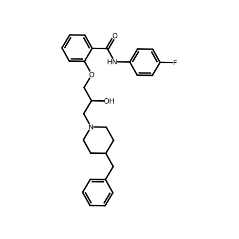 O=C(Nc1ccc(F)cc1)c1ccccc1OCC(O)CN1CCC(Cc2ccccc2)CC1